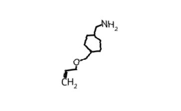 C=CCOCC1CCC(CN)CC1